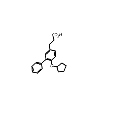 O=C(O)CCc1ccc(OC2CCCC2)c(-c2ccccc2)c1